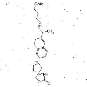 COCCC/C=C/C(C)C1=Cc2ccc([C@H]3CC[C@]4(COC(=O)N4)C3)cc2CC1